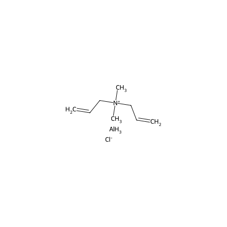 C=CC[N+](C)(C)CC=C.[AlH3].[Cl-]